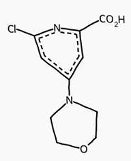 O=C(O)c1cc(N2CCOCC2)cc(Cl)n1